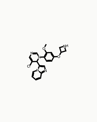 COc1cc(OC2CNC2)ccc1N1C=NC=C(Cl)C1c1cnc2ccccn12